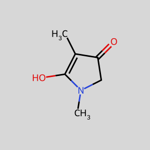 CC1=C(O)N(C)CC1=O